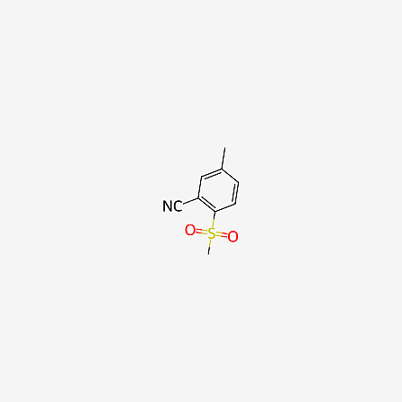 Cc1ccc(S(C)(=O)=O)c(C#N)c1